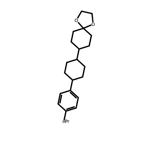 CCCc1ccc(C2CCC(C3CCC4(CC3)OCCO4)CC2)cc1